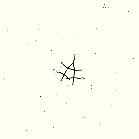 CC(C)C(C)(C)C1(C)C(F)C1(F)C(C)(C)C(F)(F)F